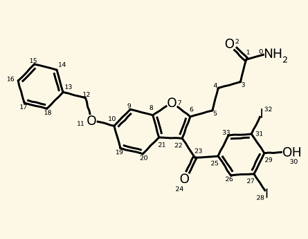 NC(=O)CCCc1oc2cc(OCc3ccccc3)ccc2c1C(=O)c1cc(I)c(O)c(I)c1